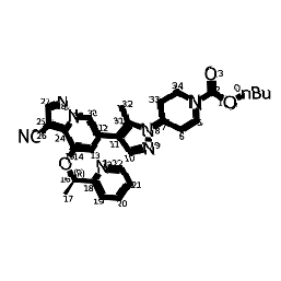 CCCCOC(=O)N1CCC(n2ncc(-c3cc(O[C@H](C)c4ccccn4)c4c(C#N)cnn4c3)c2C)CC1